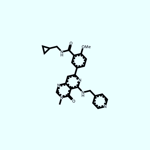 COc1ccc(-c2cc3ncn(C)c(=O)c3c(NCc3ccncc3)n2)cc1C(=O)NCC1CC1